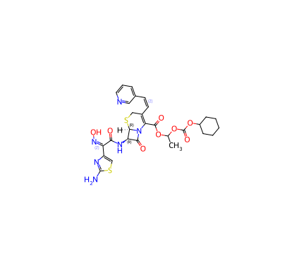 CC(OC(=O)OC1CCCCC1)OC(=O)C1=C(/C=C\c2cccnc2)CS[C@@H]2[C@H](NC(=O)/C(=N\O)c3csc(N)n3)C(=O)N12